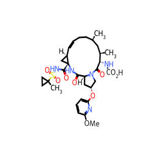 COc1cccc(O[C@@H]2C[C@H]3C(=O)N[C@]4(C(=O)NS(=O)(=O)C5(C)CC5)C[C@H]4C=CCC[C@@H](C)C[C@@H](C)[C@H](NC(=O)O)C(=O)N3C2)n1